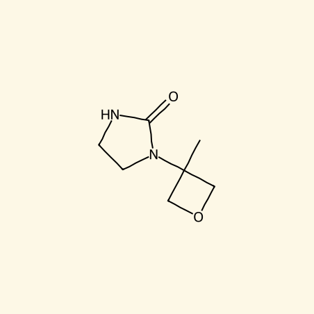 CC1(N2CCNC2=O)COC1